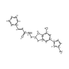 CC(=O)c1ccc(-c2cc(Cl)c3c(c2)CC(CNC(=O)/C=C/c2cncnc2)O3)s1